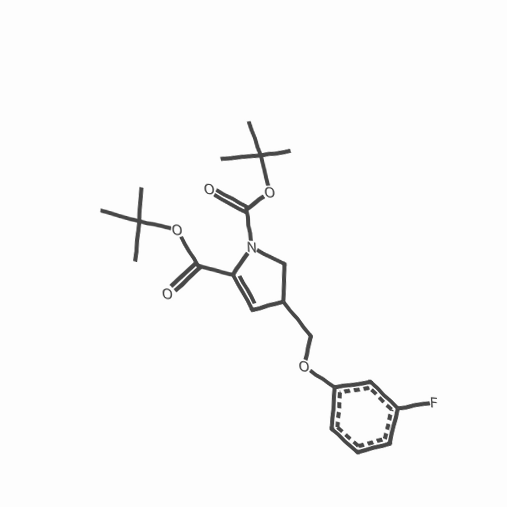 CC(C)(C)OC(=O)C1=CC(COc2cccc(F)c2)CN1C(=O)OC(C)(C)C